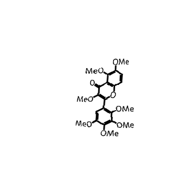 COc1cc(-c2oc3ccc(OC)c(OC)c3c(=O)c2OC)c(OC)c(OC)c1OC